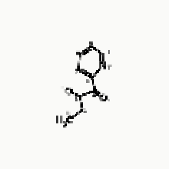 CCC([O])C(=O)c1ccccn1